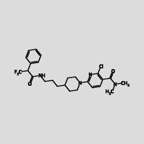 CN(C)C(=O)c1ccc(N2CCC(CCCNC(=O)C(c3ccccc3)C(F)(F)F)CC2)nc1Cl